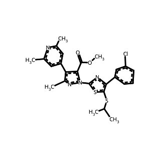 COC(=O)c1c(-c2cc(C)nc(C)c2)c(C)nn1-c1nc(-c2cccc(Cl)c2)c(SC(C)C)s1